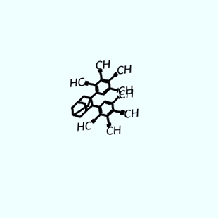 C#Cc1cc(C2C3CC4CC(C3)CC2(c2cc(C#C)c(C#C)c(C#C)c2C#C)C4)c(C#C)c(C#C)c1C#C